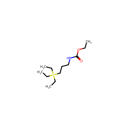 CCOC(=O)NCCCS(CC)(CC)CC